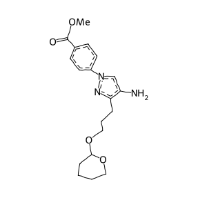 COC(=O)c1ccc(-n2cc(N)c(CCCOC3CCCCO3)n2)cc1